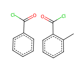 Cc1ccccc1C(=O)Cl.O=C(Cl)c1ccccc1